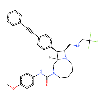 COc1ccc(NC(=O)N2CCCCN3[C@H](CNCC(F)(F)F)[C@H](c4ccc(C#Cc5ccccc5)cc4)[C@@H]3C2)cc1